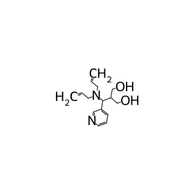 C=CCN(CC=C)C(c1cccnc1)C(CO)CO